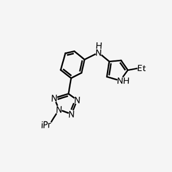 CCc1cc(Nc2cccc(-c3nnn(C(C)C)n3)c2)c[nH]1